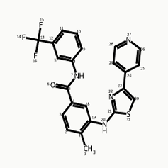 Cc1ccc(C(=O)Nc2cccc(C(F)(F)F)c2)cc1Nc1nc(-c2ccncc2)cs1